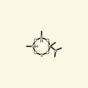 CN(C)[Si]1(C)OSO[SiH](C)O[SiH](C)O1